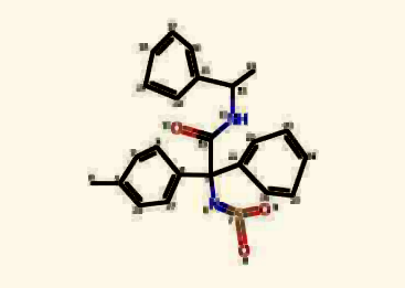 Cc1ccc(C(N=S(=O)=O)(C(=O)NC(C)c2ccccc2)c2ccccc2)cc1